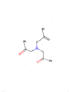 C=C(CN(CC(=O)C(C)C)CC(=O)C(C)C)C(C)C